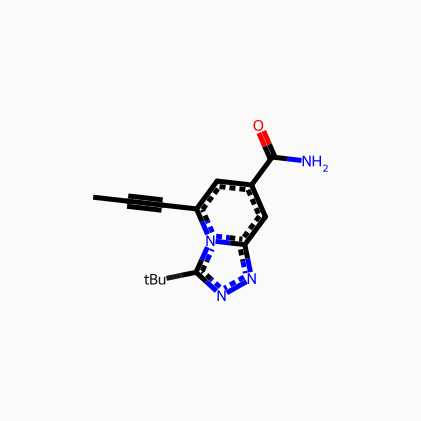 CC#Cc1cc(C(N)=O)cc2nnc(C(C)(C)C)n12